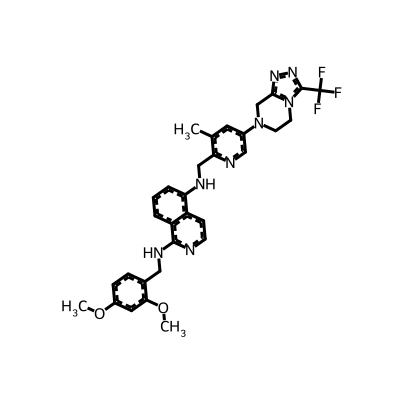 COc1ccc(CNc2nccc3c(NCc4ncc(N5CCn6c(nnc6C(F)(F)F)C5)cc4C)cccc23)c(OC)c1